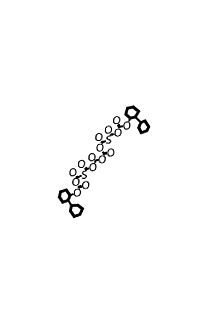 O=C(OC(=O)OC(=O)SC(=O)OC(=O)Oc1ccccc1-c1ccccc1)OC(=O)SC(=O)OC(=O)Oc1ccccc1-c1ccccc1